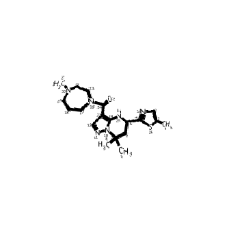 Cc1cnc(C2CC(C)(C)n3ncc(C(=O)N4CCCN(C)CC4)c3N2)s1